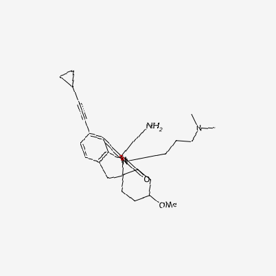 COC1CCC2(CC1)Cc1ccc(C#CC3CC3)cc1C21N=C(N)N(CCCN(C)C)C1=O